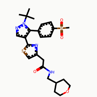 CC(C)(C)n1ncc(-c2nc(CC(=O)NCC3CCOCC3)cs2)c1-c1ccc(S(C)(=O)=O)cc1